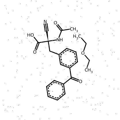 CC(=O)N[C@](C#N)(Cc1cccc(C(=O)c2ccccc2)c1)C(=O)O.CCOCC